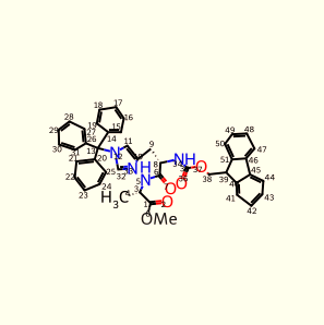 COC(=O)[C@H](C)NC(=O)[C@H](Cc1cn(C(c2ccccc2)(c2ccccc2)c2ccccc2)cn1)NC(=O)OCC1c2ccccc2-c2ccccc21